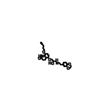 C#CCCCOc1ccc(OCC(O)CNCCc2ccc3c(c2)OCCO3)c2c1NC(=O)CC2